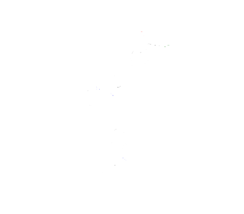 O=C(c1ccc(-c2ccc(N3c4ccc(-c5ccc(-n6c7ccccc7c7ccccc76)cc5)cc4C4C3NCCC43CCCCCCC3)cc2)cc1)C(F)(F)F